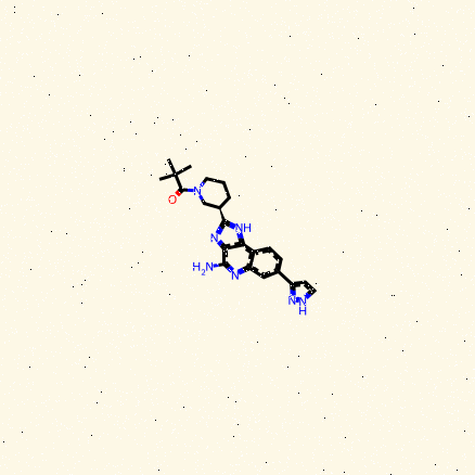 CC(C)(C)C(=O)N1CCC[C@@H](c2nc3c(N)nc4cc(-c5cc[nH]n5)ccc4c3[nH]2)C1